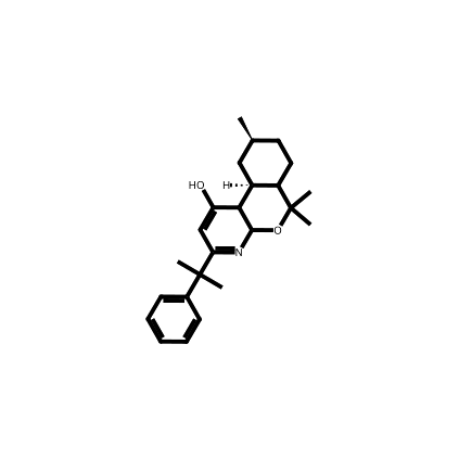 C[C@H]1CCC2[C@H](C1)C1C(O)=CC(C(C)(C)c3ccccc3)=NC1OC2(C)C